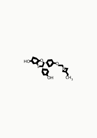 CCC1CN(CCOc2ccc([C@H]3Oc4ccc(O)cc4S[C@H]3c3ccc(O)cc3)cc2)C1